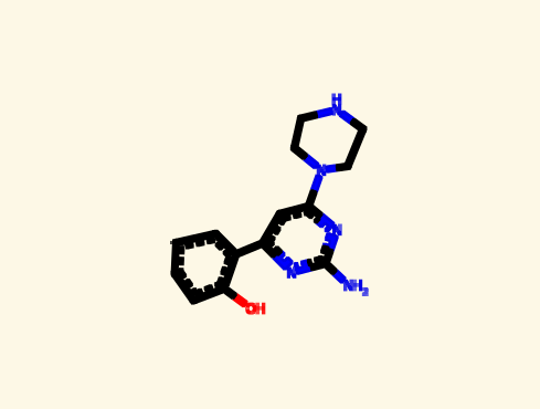 Nc1nc(-c2c[c]ccc2O)cc(N2CCNCC2)n1